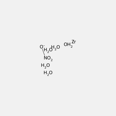 O.O.O.O.O.O=[N+]([O-])[O-].[Zr]